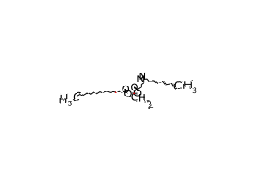 [CH2]C(COC(=O)CCCCCCCCCCCCCCC)OC(=O)CCCC1(CCCCCCCCC)N=N1